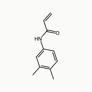 C=CC(=O)Nc1ccc(C)c(C)c1